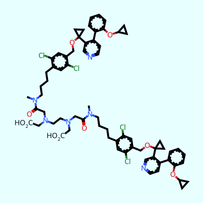 CN(CCCCc1cc(Cl)c(COC2(c3cnccc3-c3ccccc3OC3CC3)CC2)cc1Cl)C(=O)CN(CCN(CC(=O)O)CC(=O)N(C)CCCCc1cc(Cl)c(COC2(c3cnccc3-c3ccccc3OC3CC3)CC2)cc1Cl)CC(=O)O